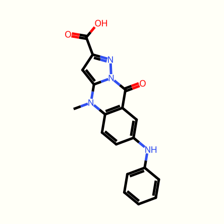 Cn1c2ccc(Nc3ccccc3)cc2c(=O)n2nc(C(=O)O)cc12